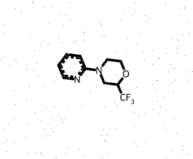 FC(F)(F)C1CN(c2ccccn2)CCO1